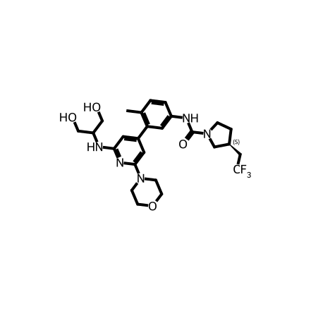 Cc1ccc(NC(=O)N2CC[C@@H](CC(F)(F)F)C2)cc1-c1cc(NC(CO)CO)nc(N2CCOCC2)c1